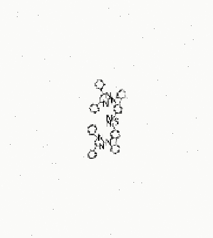 c1ccc(-c2cc(-c3ccccc3)nc(-n3c4ccccc4c4ccc(-c5nnc(-c6ccc7c8ccccc8n(-c8nc(-c9ccccc9)cc(-c9ccccc9)n8)c7c6)s5)cc43)n2)cc1